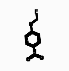 O=[SH](=O)c1ccc(OCF)cc1